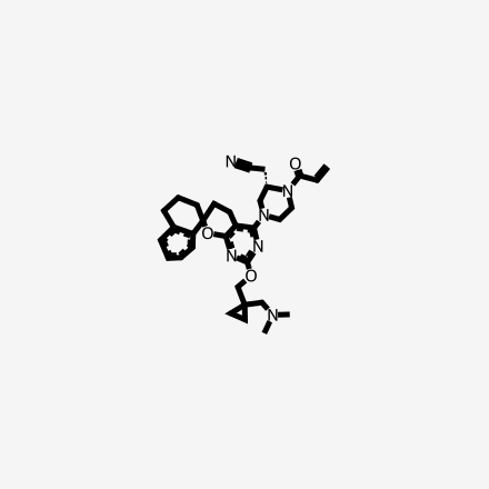 C=CC(=O)N1CCN(c2nc(OCC3(CN(C)C)CC3)nc3c2CCC2(CCCc4ccccc42)O3)C[C@@H]1CC#N